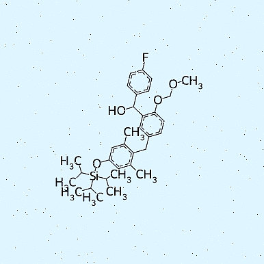 COCOc1ccc(Cc2c(C)cc(O[Si](C(C)C)(C(C)C)C(C)C)cc2C)cc1C(O)c1ccc(F)cc1